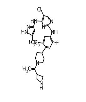 C=C(C1CNC1)N1CCC(c2cc(F)c(Nc3ncc(Cl)c(Nc4cc(C)[nH]n4)n3)cc2C)CC1